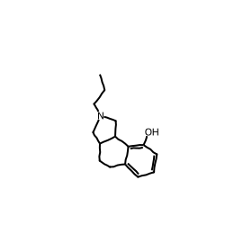 CCCN1CC2CCc3cccc(O)c3C2C1